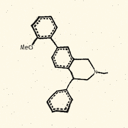 COc1ccccc1-c1ccc2c(c1)CN(C)CC2c1ccccc1